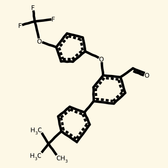 CC(C)(C)c1ccc(-c2ccc(C=O)c(Oc3ccc(OC(F)(F)F)cc3)c2)cc1